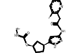 CC(C)(C)NC(=O)O[C@@H]1CC[C@H](c2cc(NC(=O)Cc3ncccc3F)n[nH]2)C1